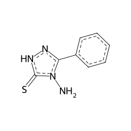 Nn1c(-c2ccccc2)n[nH]c1=S